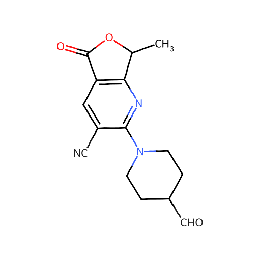 CC1OC(=O)c2cc(C#N)c(N3CCC(C=O)CC3)nc21